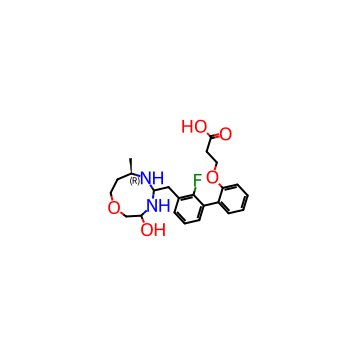 C[C@@H]1CCOCC(O)NC(Cc2cccc(-c3ccccc3OCCC(=O)O)c2F)N1